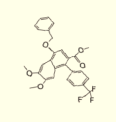 COC(=O)c1cc(OCc2ccccc2)c2cc(OC)c(OC)cc2c1-c1ccc(C(F)(F)F)cc1